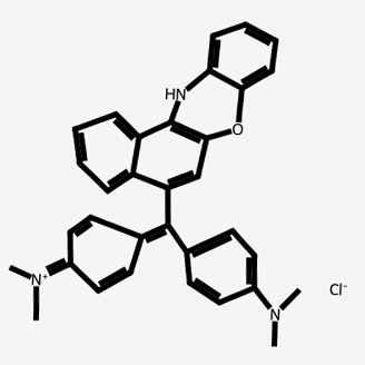 CN(C)c1ccc(C(=C2C=CC(=[N+](C)C)C=C2)c2cc3c(c4ccccc24)Nc2ccccc2O3)cc1.[Cl-]